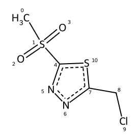 CS(=O)(=O)c1nnc(CCl)s1